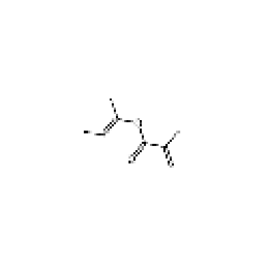 C=C(C)C(=O)OC(C)=CC